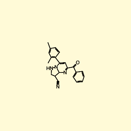 Cc1ccc(C2=CC(C(=O)c3ccccc3)=NC3C(C#N)CNN23)c(C)c1